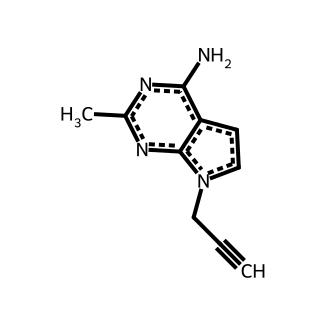 C#CCn1ccc2c(N)nc(C)nc21